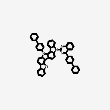 c1ccc(-c2ccc(-c3nc(-n4c5ccccc5c5c4ccc4c6c7oc8ccccc8c7ccc6n(-c6ccc(-c7ccccc7)cc6)c45)nc4ccccc34)cc2)cc1